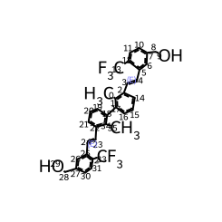 Cc1c(/C=C/c2cc(CO)ccc2C(F)(F)F)cccc1-c1cccc(/C=C/c2cc(CO)ccc2C(F)(F)F)c1C